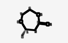 C[C@H]1CC(=O)OCCO1